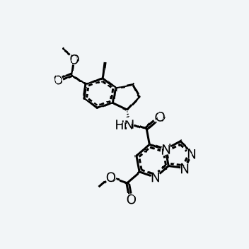 COC(=O)c1cc(C(=O)N[C@H]2CCc3c2ccc(C(=O)OC)c3C)n2cnnc2n1